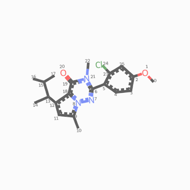 COc1ccc(-c2nn3c(C)cc(C(C)C(C)C)c3c(=O)n2C)c(Cl)c1